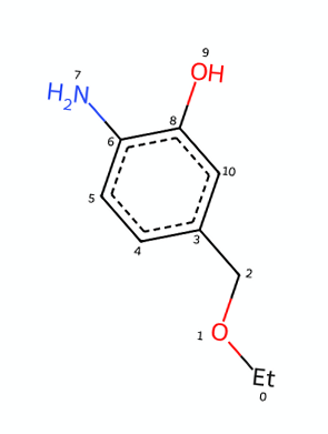 CCOCc1ccc(N)c(O)c1